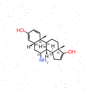 C[C@]12C=CC(O)=C[C@H]1C[C@H](N)[C@@H]1[C@@H]2CC[C@]2(C)C(O)=CC[C@@H]12